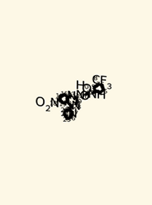 O=C(Nc1cccc(C(F)(F)F)c1)ONC1=Nc2ccc([N+](=O)[O-])cc2C(c2ccccn2)=NC1